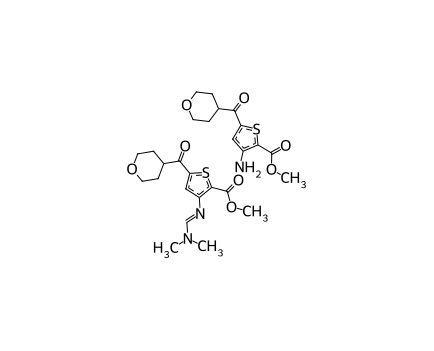 COC(=O)c1sc(C(=O)C2CCOCC2)cc1N.COC(=O)c1sc(C(=O)C2CCOCC2)cc1N=CN(C)C